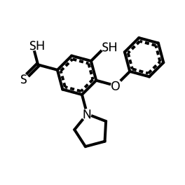 S=C(S)c1cc(S)c(Oc2ccccc2)c(N2CCCC2)c1